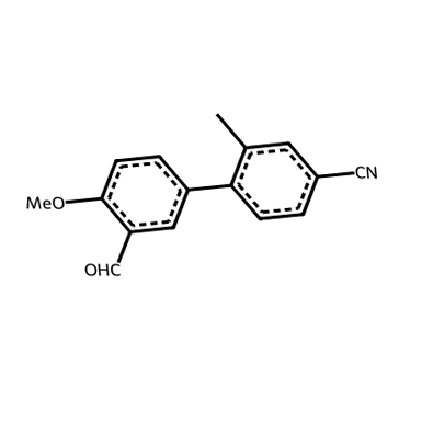 COc1ccc(-c2ccc(C#N)cc2C)cc1C=O